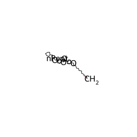 C=CCCCCCCCCCOc1ccc(C(=O)Oc2ccc(OCCCC3CCCCC3CCCCC)cc2)cc1